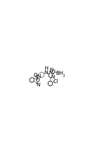 Bc1cnn2c(NC3CCN(S(=O)(=O)c4ccccc4C#N)CC3)cc(-c3ccccc3Cl)nc12